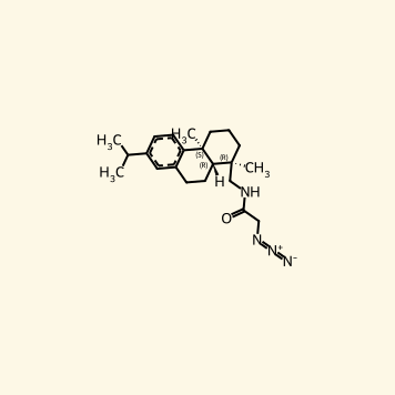 CC(C)c1ccc2c(c1)CC[C@H]1[C@](C)(CNC(=O)CN=[N+]=[N-])CCC[C@]21C